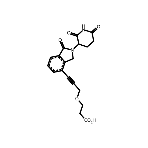 O=C(O)CCOCC#Cc1cccc2c1CN(C1CCC(=O)NC1=O)C2=O